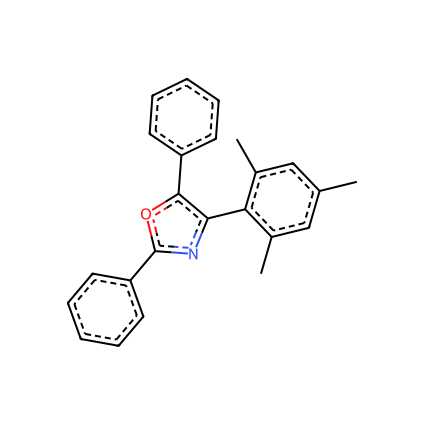 Cc1cc(C)c(-c2nc(-c3ccccc3)oc2-c2ccccc2)c(C)c1